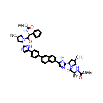 COC(=O)N[C@H](C(=O)N1CC(C)C[C@H]1c1ncc(-c2ccc3cc(-c4ccc(-c5cnc([C@@H]6C[C@H](C#N)CN6C(=O)[C@H](NC(=O)OC)c6ccccc6)[nH]5)cc4)ccc3c2)[nH]1)C(C)C